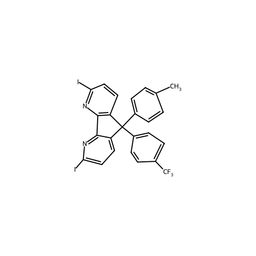 Cc1ccc(C2(c3ccc(C(F)(F)F)cc3)c3ccc(I)nc3-c3nc(I)ccc32)cc1